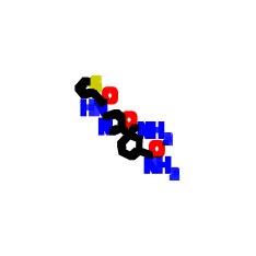 NC(=O)C1=CC=CC(C(N)=O)(c2ccc(NC(=O)c3cccs3)nc2)C1